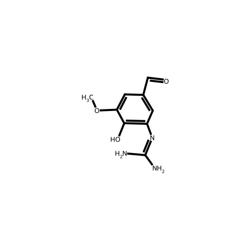 COc1cc(C=O)cc(N=C(N)N)c1O